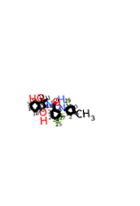 Cc1ccc(Nc2c(C(=O)N3CC(O)([C@@H]4CCCC[C@H]4O)C3)ccc(F)c2F)c(F)c1